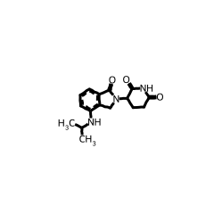 CC(C)Nc1cccc2c1CN(C1CCC(=O)NC1=O)C2=O